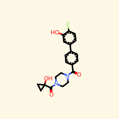 O=C(c1ccc(-c2ccc(F)c(O)c2)cc1)N1CCN(C(=O)C2(O)CC2)CC1